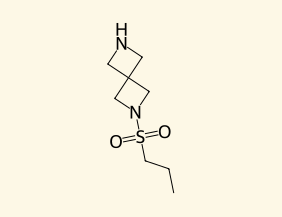 CCCS(=O)(=O)N1CC2(CNC2)C1